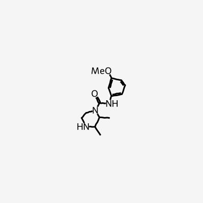 COc1cccc(NC(=O)N2CCNC(C)C2C)c1